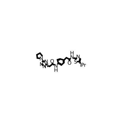 CC(C)c1cnc(NC(=O)Cc2ccc(NC(=O)Cn3nnc(N4CCCC4)n3)cc2)s1